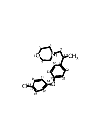 CC(CN1CCOCC1)c1ccc(Oc2ccc(Cl)cc2)cc1